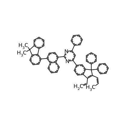 C=CC1=C(/C=C\C)C(c2ccccc2)(c2ccccc2)c2cc(-c3cc(-c4ccccc4)nc(-c4ccc(-c5cccc6c5-c5ccccc5C6(C)C)c5ccccc45)n3)ccc21